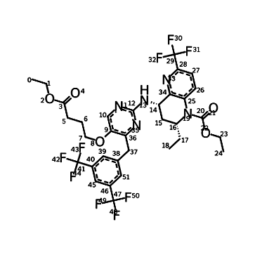 CCOC(=O)CCCOc1cnc(N[C@H]2C[C@@H](CC)N(C(=O)OCC)c3ccc(C(F)(F)F)nc32)nc1Cc1cc(C(F)(F)F)cc(C(F)(F)F)c1